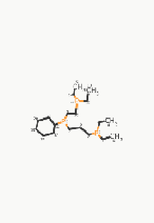 CCP(CC)CCCP(CCP(CC)CC)C1CCCCC1